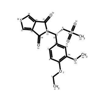 CCOc1ccc([C@@H](CS(C)(=O)=O)N2C(=O)c3cscc3C2=O)cc1OC